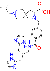 CC(C)CN1CCC2(CC1)CC(C(=O)O)N(Cc1ccc(C(=O)NCC(Cc3ncc[nH]3)Cc3ncc[nH]3)cc1)C2